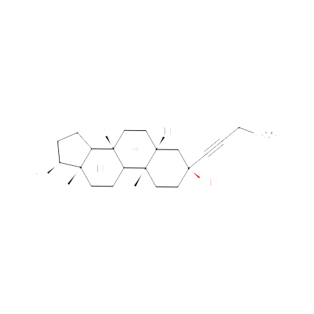 COCC#C[C@]1(O)CC[C@@]2(C)[C@H](CC[C@@H]3[C@@H]2CC[C@]2(C)[C@@H](C(C)=O)CC[C@@H]32)C1